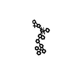 CC1(C)C2=C(C=CCC2)c2ccc(-c3cc(-c4ccc(-c5cccc(-c6ccc7c(c6)C(c6ccccc6)(c6ccccc6)c6ccccc6-7)c5)c5ccccc45)nc(-c4ccccc4)n3)cc21